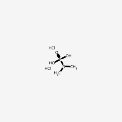 CN(C)P(=O)(O)O.Cl.Cl